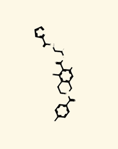 O=C(NC[C@H](NC(=O)c1c(Cl)cc2c(c1Cl)CCN(C(=O)c1ccc(Cl)cc1)C2)C(=O)O)c1cccs1